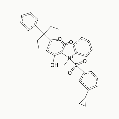 CCC(CC)(c1ccccc1)c1cc(O)c([N+](C)(c2ccccc2)S(=O)(=O)c2cccc(C3CC3)c2)c(=O)o1